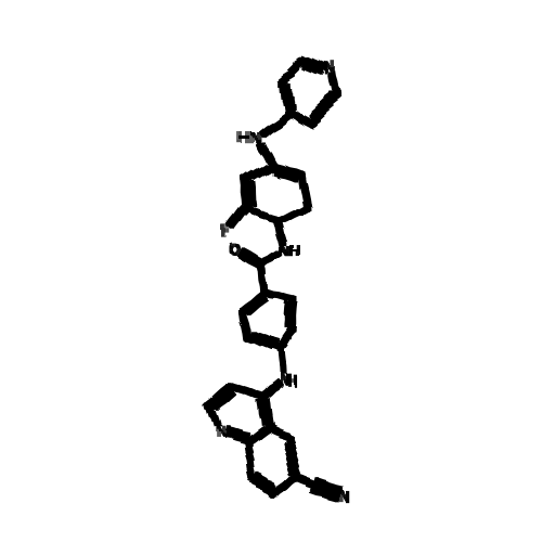 N#Cc1ccc2nccc(Nc3ccc(C(=O)NC4CC=C(Nc5ccncc5)C=C4F)cc3)c2c1